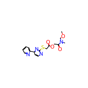 COCN(C)C(=O)COC(=O)CSc1nccc(-c2ccccn2)n1